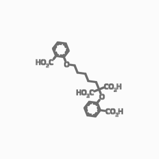 O=C(O)c1ccccc1OCCCCCC(Oc1ccccc1C(=O)O)(C(=O)O)C(=O)O